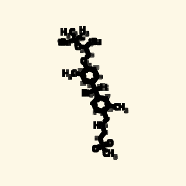 CCC(CC)(c1ccc(CNCCS(C)(=O)=O)c(C)c1)c1ccc(OCC(O[Si](C)(C)C(C)(C)C)C(C)(C)C)c(C)c1